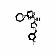 Fc1cccc(CN2CCC(Nc3nccc(N4CCCCCC4)n3)C2)c1